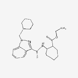 CCOC(=O)C1CCCCC1NC(=O)c1nn(CC2CCCCC2)c2ccccc12